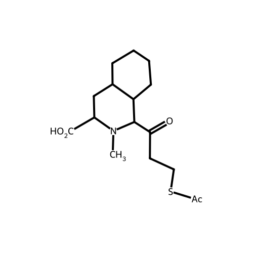 CC(=O)SCCC(=O)C1C2CCCCC2CC(C(=O)O)N1C